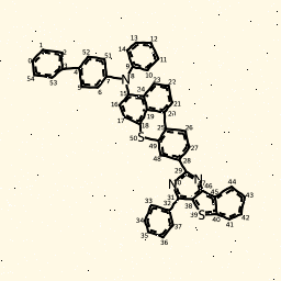 c1ccc(-c2ccc(N(c3ccccc3)c3ccc4c5c(cccc35)-c3ccc(-c5nc(-c6ccccc6)c6sc7ccccc7c6n5)cc3S4)cc2)cc1